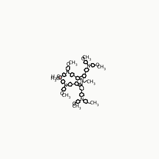 CCCC(n1c2c(c3cc(-c4ccc(N(c5ccc(OC)cc5)c5ccc(OC)cc5)cc4)ccc31)C=C(c1ccc(N(c3ccc(CC)cc3)c3ccc(OC)cc3)cc1)CC2)n1c2ccc(-c3ccc(N(c4ccc(OC)cc4)c4ccc(OC)cc4)cc3)cc2c2cc(-c3ccc(N(c4ccc(OC)cc4)C4C=CC(OC)=CC4)cc3)ccc21